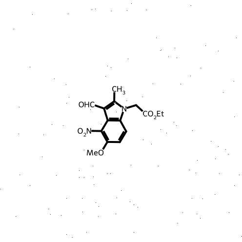 CCOC(=O)Cn1c(C)c(C=O)c2c([N+](=O)[O-])c(OC)ccc21